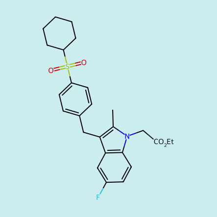 CCOC(=O)Cn1c(C)c(Cc2ccc(S(=O)(=O)C3CCCCC3)cc2)c2cc(F)ccc21